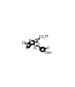 CCn1ncc2c(NCc3ccc(OC)c(Cl)c3)c(C(=O)NCC(=O)O)cnc21